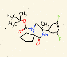 CC(C)(C)OC(=O)N1C[C@@](C)(C2C=C(F)C=C(F)C2)NC(=O)C12CCCC2